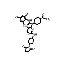 NC(=O)[C@H]1CC[C@H](n2c(Nc3c(F)cc(Cl)cc3Cl)nc3cnc(NC4CCC(N5C(=O)CCC5=O)CC4)nc32)CC1